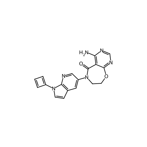 Nc1ncnc2c1C(=O)N(c1cnc3c(ccn3C3=CC=C3)c1)CCO2